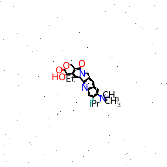 CC[C@@]1(O)C(=O)OCc2c1cc1n(c2=O)Cc2cc3cc([N+](C)(C)C(C)C)c(F)cc3nc2-1